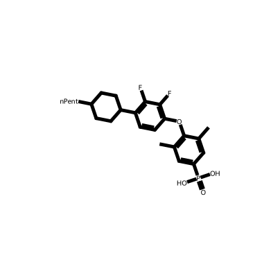 CCCCCC1CCC(c2ccc(Oc3c(C)cc(P(=O)(O)O)cc3C)c(F)c2F)CC1